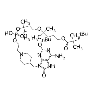 CCCCOc1nc(N)c2[nH]c(=O)n(CC3CCN(CCOP(=O)(O)OC(C)(C)CCOC(C)(C)CCCOC(=O)C(C)(C)CC(C)(C)C)CC3)c2n1